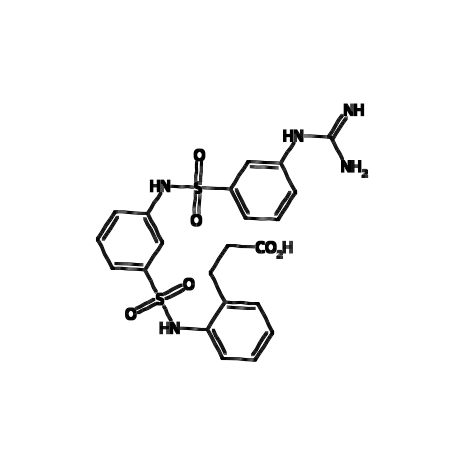 N=C(N)Nc1cccc(S(=O)(=O)Nc2cccc(S(=O)(=O)Nc3ccccc3CCC(=O)O)c2)c1